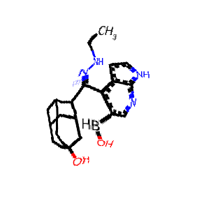 CCN/N=C(\c1c(BO)cnc2[nH]ccc12)C1C2CC3CC1CC(O)(C3)C2